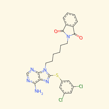 Nc1ncnc2c1nc(Sc1cc(Cl)cc(Cl)c1)n2CCCCCCN1C(=O)c2ccccc2C1=O